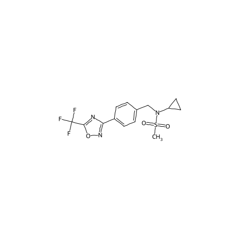 CS(=O)(=O)N(Cc1ccc(-c2noc(C(F)(F)F)n2)cc1)C1CC1